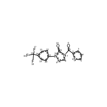 O=C(c1cccs1)n1cnn(-c2ccc(C(F)(F)F)cc2)c1=O